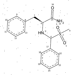 CS(=O)(=O)C(N[C@@H](Cc1ccccc1)C(N)=O)c1ccccc1